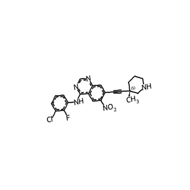 C[C@@]1(C#Cc2cc3ncnc(Nc4cccc(Cl)c4F)c3cc2[N+](=O)[O-])CCCNC1